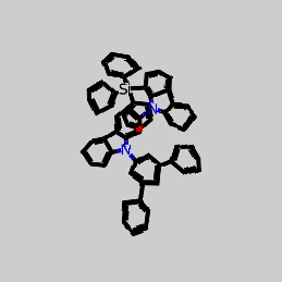 c1ccc(-c2cc(-c3ccccc3)cc(-n3c4ccccc4c4ccc(-n5c6ccccc6c6cccc([Si](c7ccccc7)(c7ccccc7)c7ccccc7)c65)cc43)c2)cc1